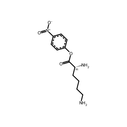 NCCCC[C@@H](N)C(=O)Oc1ccc([N+](=O)[O-])cc1